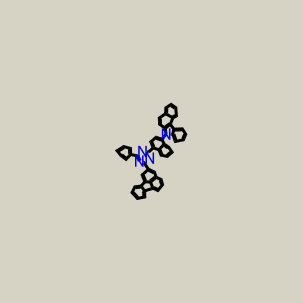 c1ccc(-c2nc(-c3cc4c5c(cccc5c3)-c3ccccc3-4)nc(-c3ccc(-n4c5ccccc5c5c6ccccc6ccc54)c4ccccc34)n2)cc1